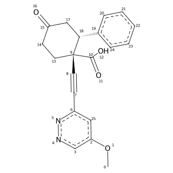 COc1cnnc(C#C[C@@]2(C(=O)O)CCC(=O)C[C@@H]2c2ccccc2)c1